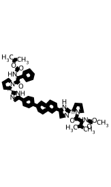 COC(=O)NC(C(=O)N1CCC[C@H]1c1ncc(-c2ccc3cc(-c4ccc(-c5cnc([C@@H]6CCCN6C(=O)[C@H](NC(=O)OC(C)C)c6ccccc6)[nH]5)cc4)ccc3c2)[nH]1)C(C)C